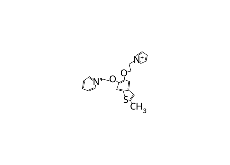 Cc1cc2cc(OCC[n+]3ccccc3)c(OCC[n+]3ccccc3)cc2s1